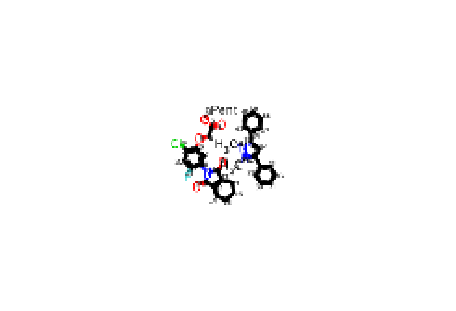 CCCCCOC(=O)COc1cc(N2C(=O)C3=C(CCCC3)C2=O)c(F)cc1Cl.Cn1c(-c2ccccc2)cc(-c2ccccc2)[n+]1C